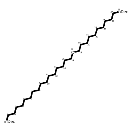 CCCCCCCCCCCCCCCCCCCCCCCCCCOCCCCCCCCCCCCCCCCCCCC